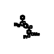 CCO[C@@H]1C[C@@H](c2ccccc2)OC2(CCN(C(=O)c3ccc(OC(C)C)c(OC)c3)CC2)C1